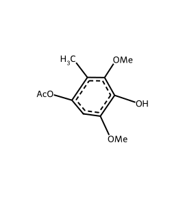 COc1cc(OC(C)=O)c(C)c(OC)c1O